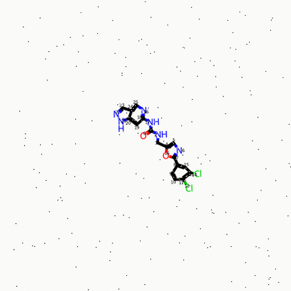 O=C(NCc1cnc(-c2ccc(Cl)c(Cl)c2)o1)Nc1cc2[nH]n[c]c2cn1